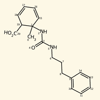 CC1(NC(=O)NCCCc2ccccc2)C=CC=CC1C(=O)O